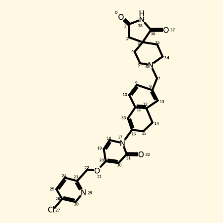 O=C1CC2(CCN(Cc3ccc4c(c3)CCC(n3ccc(OCc5ccc(Cl)cn5)cc3=O)=C4)CC2)C(=O)N1